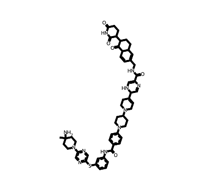 CC1(N)CCN(c2cnc(Sc3cccc(NC(=O)c4ccc(N5CCC(N6CC=C(C7C=NC(C(=O)NCC8=CC9CCC(C%10CCC(=O)NC%10=O)C(=O)C9C=C8)=CN7)CC6)CC5)cc4)c3)cn2)CC1